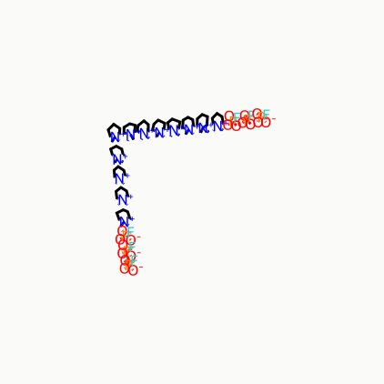 C[N+]1(C)CCCCC1.C[N+]1(C)CCCCC1.C[N+]1(C)CCCCC1.C[N+]1(C)CCCCC1.C[N+]1(C)CCCCC1.C[N+]1(C)CCCCC1.C[N+]1(C)CCCCC1.C[N+]1(C)CCCCC1.C[N+]1(C)CCCCC1.C[N+]1(C)CCCCC1.C[N+]1(C)CCCCC1.C[N+]1(C)CCCCC1.O=P([O-])([O-])F.O=P([O-])([O-])F.O=P([O-])([O-])F.O=P([O-])([O-])F.O=P([O-])([O-])F.O=P([O-])([O-])F